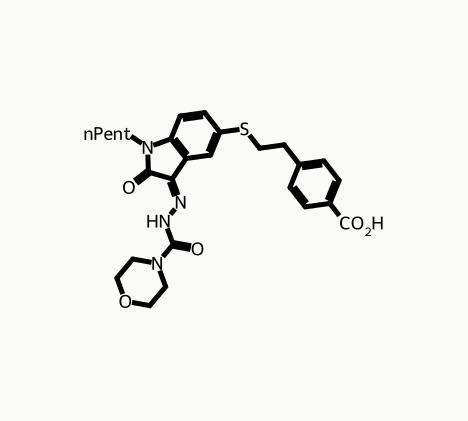 CCCCCN1C(=O)C(=NNC(=O)N2CCOCC2)c2cc(SCCc3ccc(C(=O)O)cc3)ccc21